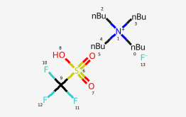 CCCC[N+](CCCC)(CCCC)CCCC.O=S(=O)(O)C(F)(F)F.[F-]